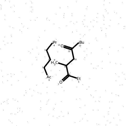 CC(=O)CCCC(C)C.CCC(=O)C(C)CC(=O)C(C)CC